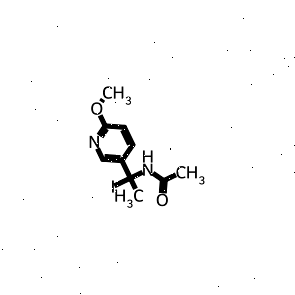 COc1ccc(C(C)(I)NC(C)=O)cn1